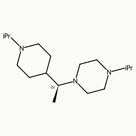 CC(C)N1CCC([C@H](C)N2CCN(C(C)C)CC2)CC1